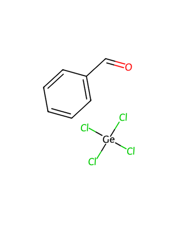 O=Cc1ccccc1.[Cl][Ge]([Cl])([Cl])[Cl]